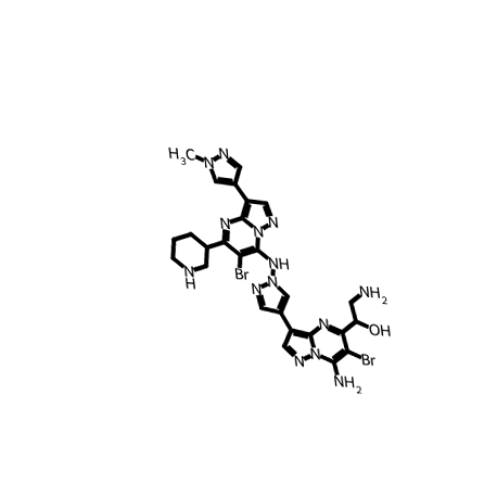 Cn1cc(-c2cnn3c(Nn4cc(-c5cnn6c(N)c(Br)c(C(O)CN)nc56)cn4)c(Br)c(C4CCCNC4)nc23)cn1